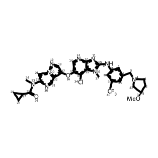 CO[C@@H]1CCN(Cc2cc(Nc3nc4ncc(Oc5cnn6cc(N(C)C(=O)C7CC7)ncc56)c(Cl)c4n3C)cc(C(F)(F)F)c2)C1